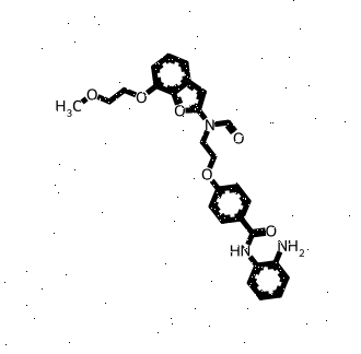 COCCOc1cccc2cc(N(C=O)CCOc3ccc(C(=O)Nc4ccccc4N)cc3)oc12